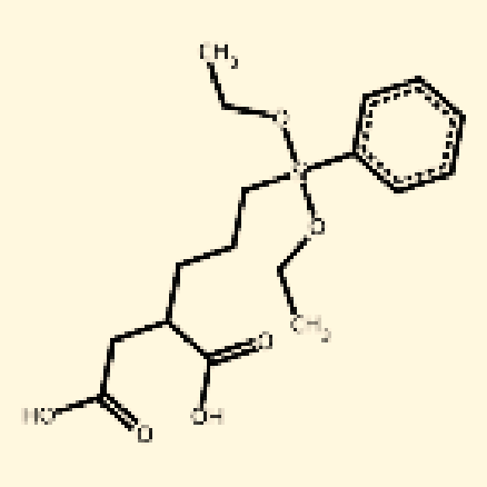 CCO[Si](CCCC(CC(=O)O)C(=O)O)(OCC)c1ccccc1